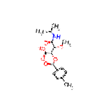 COC(C(=O)NC(C)C)C(OC(=O)c1ccc(C)cc1)C(=O)O